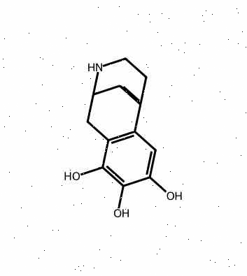 Oc1cc2c(c(O)c1O)CC1NCCC23CCCCC13